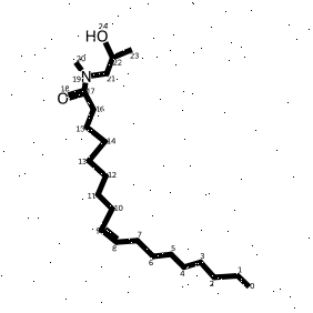 CCCCCCCC/C=C\CCCCCCCC(=O)N(C)CC(C)O